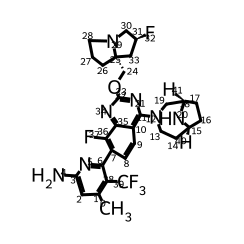 Cc1cc(N)nc(-c2ccc3c(N4CC[C@H]5CC[C@@H](C4)N5)nc(OC[C@]45CCCN4C[C@@H](F)C5)nc3c2F)c1C(F)(F)F